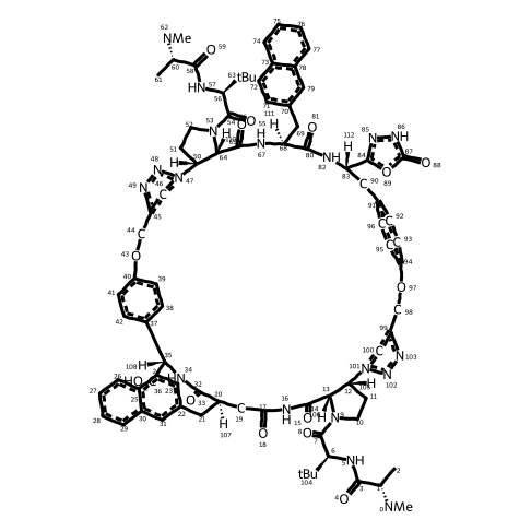 CN[C@@H](C)C(=O)N[C@H](C(=O)N1CC[C@@H]2[C@H]1C(=O)NC(=O)C[C@@H](Cc1ccc3ccccc3c1)C(=O)N[C@H](C(=O)O)c1ccc(cc1)OCc1cn(nn1)[C@@H]1CCN(C(=O)[C@@H](NC(=O)[C@H](C)NC)C(C)(C)C)[C@@H]1C(=O)N[C@@H](Cc1ccc3ccccc3c1)C(=O)N[C@H](c1n[nH]c(=O)o1)Cc1ccc(cc1)OCc1cn2nn1)C(C)(C)C